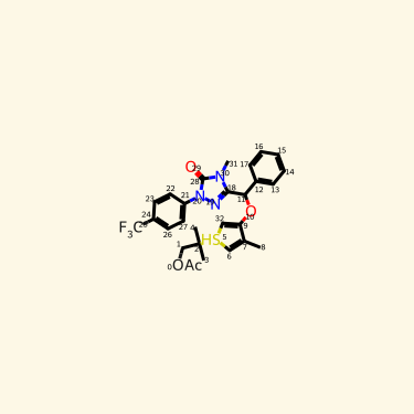 CC(=O)OCC(C)(C)[SH]1C=C(C)C(OC(c2ccccc2)c2nn(-c3ccc(C(F)(F)F)cc3)c(=O)n2C)=C1